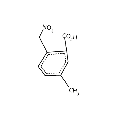 Cc1ccc(C[N+](=O)[O-])c(C(=O)O)c1